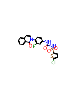 O=C(Nc1ccc(-n2ccc3ccccc3c2=O)c(F)c1)NS(=O)(=O)c1ccc(Cl)s1